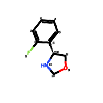 Fc1ccccc1[C@@H]1COCN1